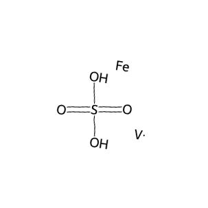 O=S(=O)(O)O.[Fe].[V]